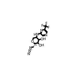 [N-]=[N+]=NC[C@@H]1OCC(Nc2cncc(C(F)(F)F)n2)C(O)C1O